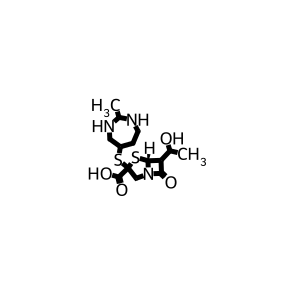 CC1NCCC(SC2(C(=O)O)CN3C(=O)C(C(C)O)[C@H]3S2)CN1